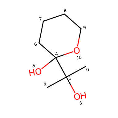 CC(C)(O)C1(O)CCCCO1